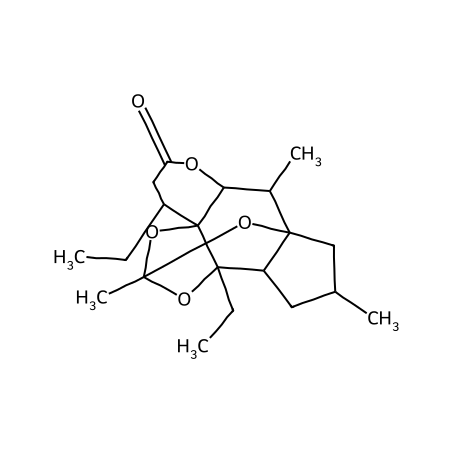 CCC1CC(=O)OC2C(C)C34CC(C)CC3C3(CC)OC(C)(O4)OC123